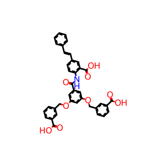 O=C(O)c1cccc(COc2cc(OCc3cccc(C(=O)O)c3)cc(C(=O)Nc3ccc(C=Cc4ccccc4)cc3C(=O)O)c2)c1